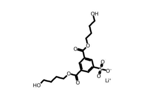 O=C(OCCCCO)c1cc(C(=O)OCCCCO)cc(S(=O)(=O)[O-])c1.[Li+]